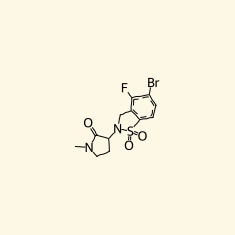 CN1CCC(N2Cc3c(ccc(Br)c3F)S2(=O)=O)C1=O